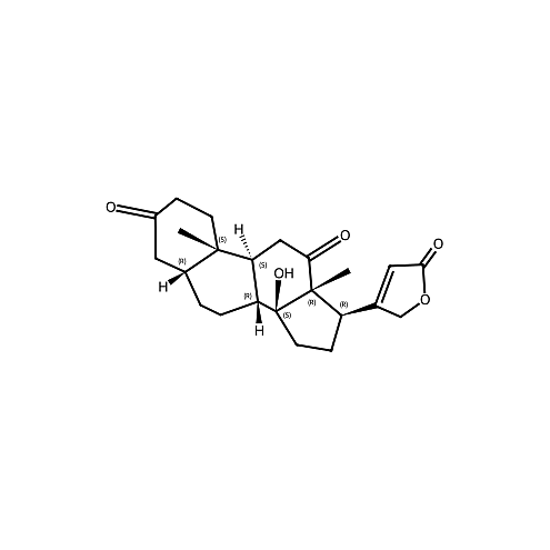 C[C@]12CCC(=O)C[C@H]1CC[C@@H]1[C@@H]2CC(=O)[C@]2(C)[C@@H](C3=CC(=O)OC3)CC[C@]12O